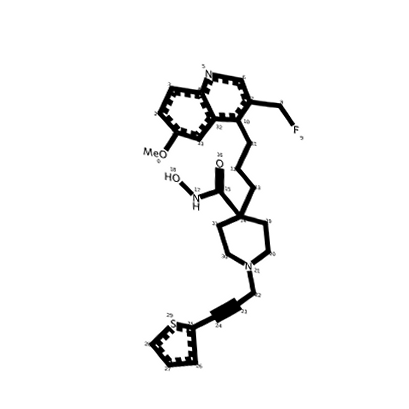 COc1ccc2ncc(CF)c(CCCC3(C(=O)NO)CCN(CC#Cc4cccs4)CC3)c2c1